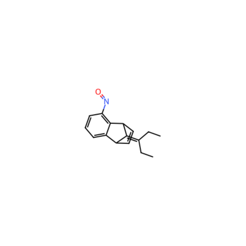 CCC(CC)=C1C2C=CC1c1c(N=O)cccc12